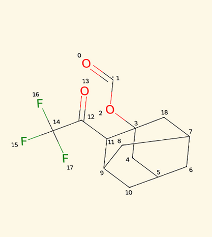 O=[C]OC12CC3CC(CC(C3)C1C(=O)C(F)(F)F)C2